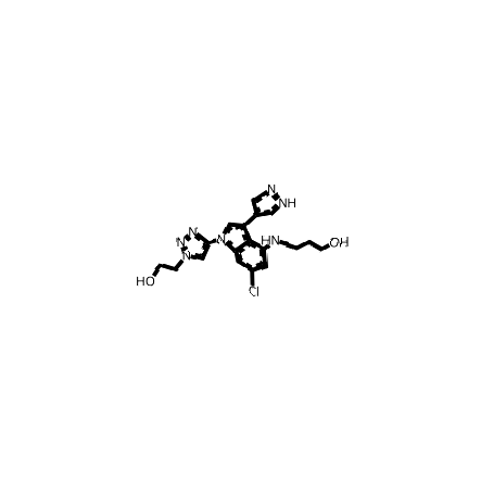 OCCCNc1cc(Cl)cc2c1c(-c1cn[nH]c1)cn2-c1cn(CCO)nn1